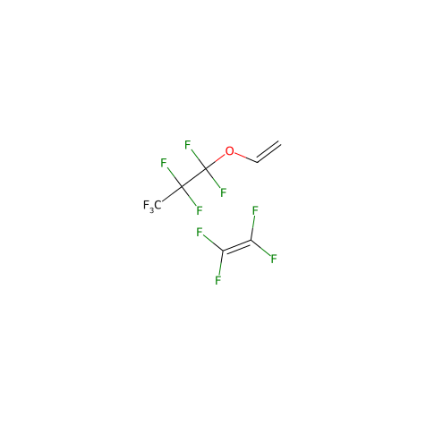 C=COC(F)(F)C(F)(F)C(F)(F)F.FC(F)=C(F)F